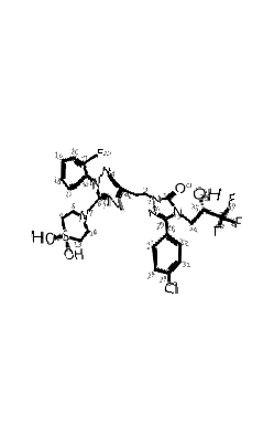 O=c1n(Cc2nc(N3CCS(O)(O)CC3)n(-c3ccccc3F)n2)nc(-c2ccc(Cl)cc2)n1C[C@H](O)C(F)(F)F